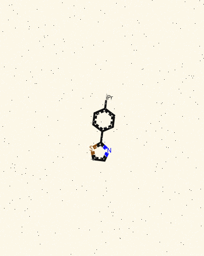 CC(C)c1ccc(-c2nc[c]s2)cc1